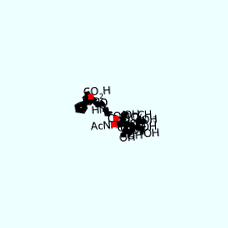 CC(=O)NC1C(OCCCNC(=O)COc2cc(C(=O)O)cc(-c3ccccc3)c2)OC(CO)C(OC2OC(CO)C(O)C(OC(OC(CO)[C@@H](C)O)[C@@H](O)CO)C2O)C1O